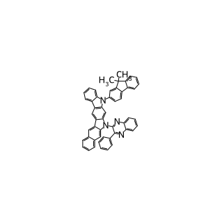 CC1(C)c2ccccc2-c2ccc(-n3c4ccccc4c4cc5c6cc7ccccc7cc6n(-c6nc7ccccc7nc6-c6ccccc6)c5cc43)cc21